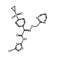 O=C(Nc1ncc(Cl)s1)/C(=N/OCc1ncccn1)c1ccc(S(=O)(=O)C2CC2)cc1